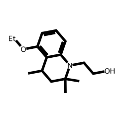 CCOc1cccc2c1C(C)CC(C)(C)N2CCO